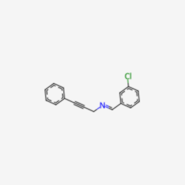 Clc1cccc(C=NCC#Cc2ccccc2)c1